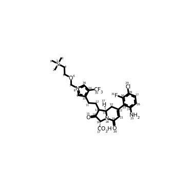 C[Si](C)(C)CCOCn1cc(CCC2C(=O)[C@@H](C(=O)O)N3C(=O)C=C(c4c(N)ccc(Cl)c4F)C[C@H]23)c(C(F)(F)F)c1